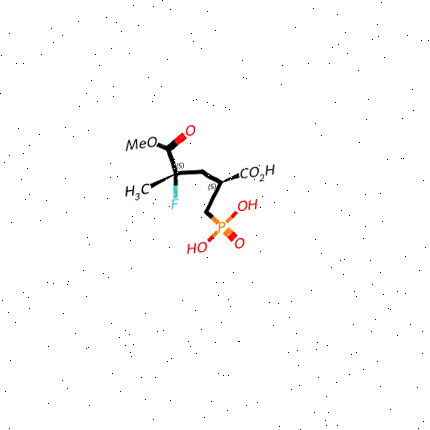 COC(=O)[C@@](C)(F)C[C@H](CP(=O)(O)O)C(=O)O